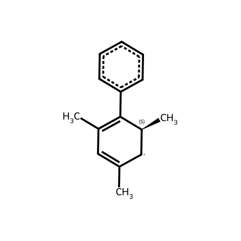 CC1=CC(C)=C(c2ccccc2)[C@@H](C)[CH]1